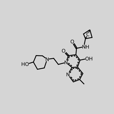 Cc1cnc2c(c1)c(O)c(C(=O)NC13CC(C1)C3)c(=O)n2CCN1CCC(O)CC1